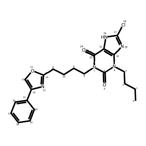 CCCCn1c(=O)n(CCCCc2nc(-c3ccccc3)co2)c(=O)c2[nH]c(Cl)nc21